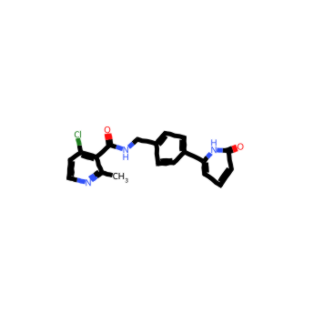 Cc1nccc(Cl)c1C(=O)NCc1ccc(-c2cccc(=O)[nH]2)cc1